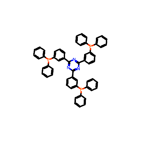 c1ccc(P(c2ccccc2)c2cccc(-c3nc(-c4cccc(P(c5ccccc5)c5ccccc5)c4)nc(-c4cccc(P(c5ccccc5)c5ccccc5)c4)n3)c2)cc1